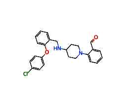 O=Cc1ccccc1N1CCC(NCc2ccccc2Oc2ccc(Cl)cc2)CC1